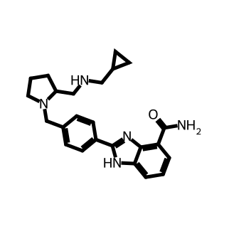 NC(=O)c1cccc2[nH]c(-c3ccc(CN4CCCC4CNCC4CC4)cc3)nc12